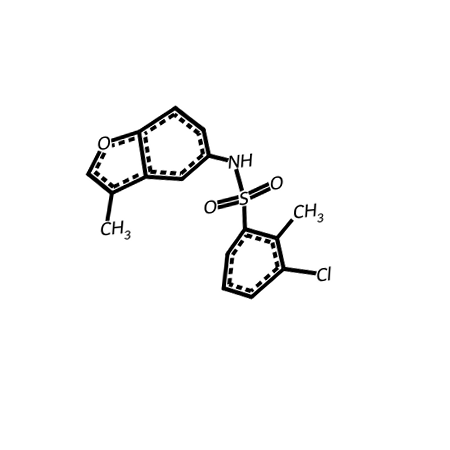 Cc1c(Cl)cccc1S(=O)(=O)Nc1ccc2occ(C)c2c1